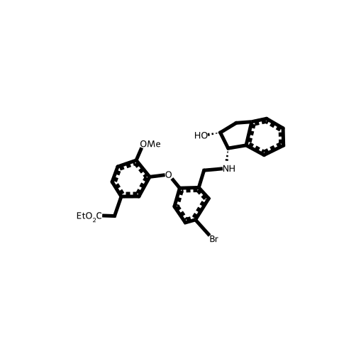 CCOC(=O)Cc1ccc(OC)c(Oc2ccc(Br)cc2CN[C@H]2c3ccccc3C[C@H]2O)c1